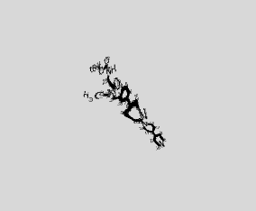 CN(Cc1cccc(-c2ccc(N3CCC(c4ccncc4)CC3)nc2)c1)C(=O)CNC(=O)OC(C)(C)C